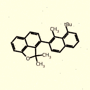 Cc1c(-c2ccc3cccc4c3c2C(C)(C)O4)ccc2cccc(C(C)(C)C)c12